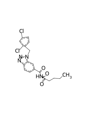 CCCCS(=O)(=O)NC(=O)c1ccc2nnn(Cc3ccc(Cl)cc3Cl)c2c1